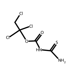 NC(=S)NC(=O)OC(Cl)(Cl)CCl